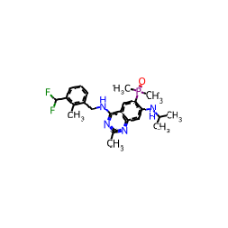 Cc1nc(NCc2cccc(C(F)F)c2C)c2cc(P(C)(C)=O)c(NC(C)C)cc2n1